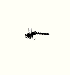 CCCCCCCCCCCCCCCCOc1ccc(C(=O)Nc2ccc(OC)c(N)c2)cc1